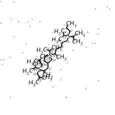 CCCS(CCCCC(C)S1(C(C)C)CCC(CC(C)S(CC(C)C)(CC(C)C)C(C)C)C1)(C(C)C)C(C)C